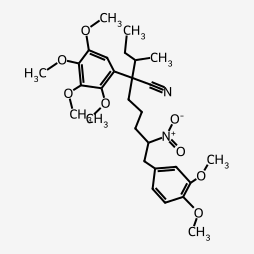 CCC(C)C(C#N)(CCCC(Cc1ccc(OC)c(OC)c1)[N+](=O)[O-])c1cc(OC)c(OC)c(OC)c1OC